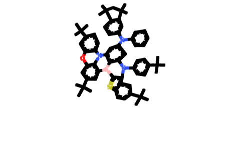 CC(C)(C)c1ccc(N2c3cc(N(c4ccccc4)c4ccc5c(c4)C(C)(C)CC5(C)C)cc4c3B(c3cc(C(C)(C)C)cc5c3N4c3ccc(C(C)(C)C)cc3O5)c3sc4ccc(C(C)(C)C)cc4c32)cc1